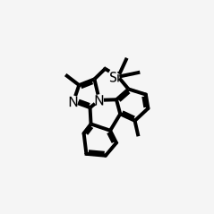 Cc1nc2c3ccccc3c3c(C)ccc4c3n2c1C[Si]4(C)C